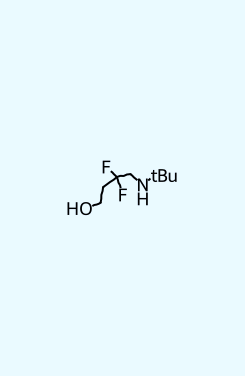 CC(C)(C)NCC(F)(F)CCO